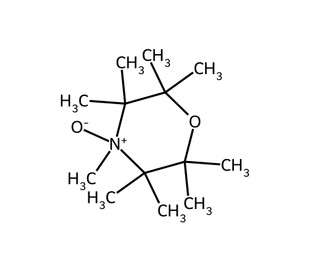 CC1(C)OC(C)(C)C(C)(C)[N+](C)([O-])C1(C)C